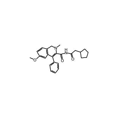 COc1ccc2c(c1)C(c1ccccc1)=C(C(=O)NC(=O)CC1CCCC1)N(C)C2